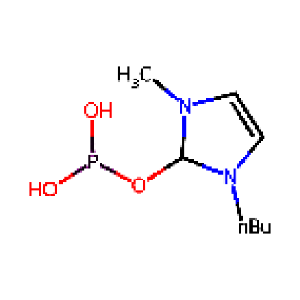 CCCCN1C=CN(C)C1OP(O)O